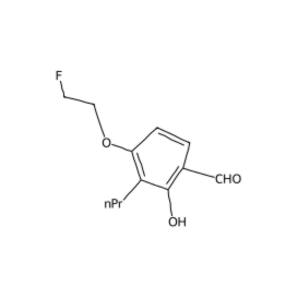 CCCc1c(OCCF)ccc(C=O)c1O